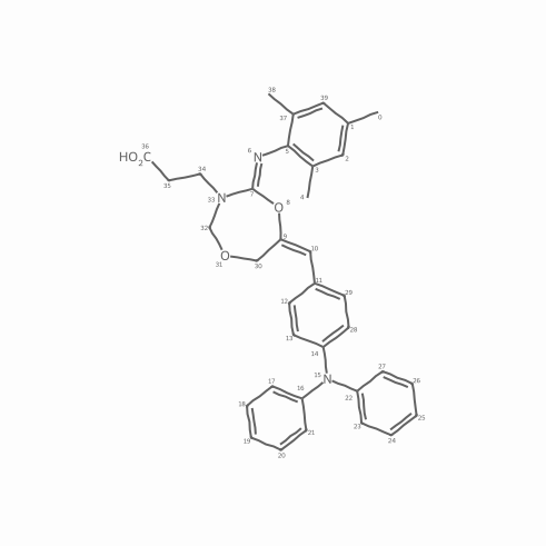 Cc1cc(C)c(N=C2O/C(=C/c3ccc(N(c4ccccc4)c4ccccc4)cc3)COCN2CCC(=O)O)c(C)c1